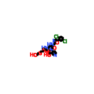 O=C(NCCC(NCc1ncc(-c2cc(Cl)ccc2Cl)o1)C(=O)Nc1ccncc1C(=O)O)OCCOCCO